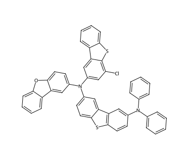 Clc1cc(N(c2ccc3oc4ccccc4c3c2)c2ccc3sc4ccc(N(c5ccccc5)c5ccccc5)cc4c3c2)cc2c1sc1ccccc12